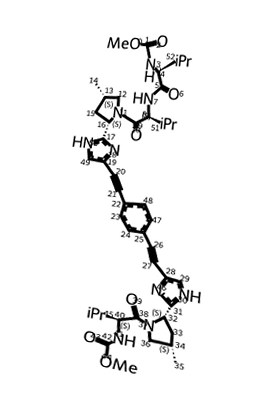 COC(=O)N[C@H](C(=O)N[C@H](C(=O)N1C[C@@H](C)C[C@H]1c1nc(C#Cc2ccc(C#Cc3c[nH]c([C@@H]4C[C@H](C)CN4C(=O)[C@@H](NC(=O)OC)C(C)C)n3)cc2)c[nH]1)C(C)C)C(C)C